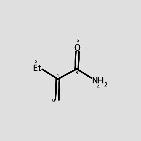 C=C(CC)C(N)=O